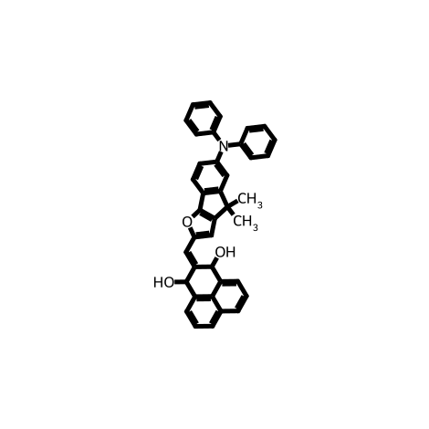 CC1(C)c2cc(N(c3ccccc3)c3ccccc3)ccc2-c2oc(C=C3C(O)c4cccc5cccc(c45)C3O)cc21